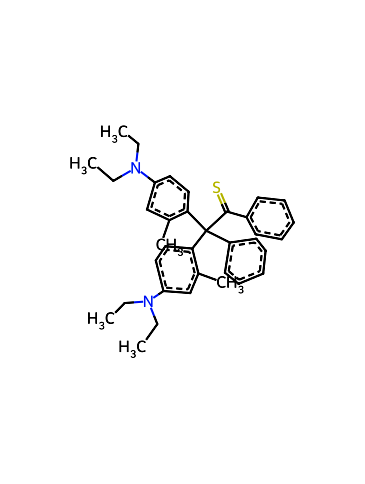 CCN(CC)c1ccc(C(C(=S)c2ccccc2)(c2ccccc2)c2ccc(N(CC)CC)cc2C)c(C)c1